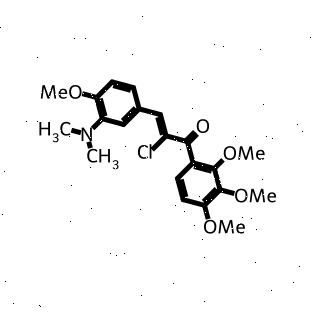 COc1ccc(C=C(Cl)C(=O)c2ccc(OC)c(OC)c2OC)cc1N(C)C